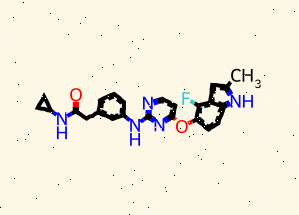 Cc1cc2c(F)c(Oc3ccnc(Nc4cccc(CC(=O)NC5CC5)c4)n3)ccc2[nH]1